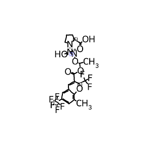 Cc1cc(S(F)(F)(F)(F)F)cc2c1O[C@H](C(F)(F)F)C(C(=O)OC(C)O/N=[N+](\O)N1CCC[C@H]1C(=O)O)=C2